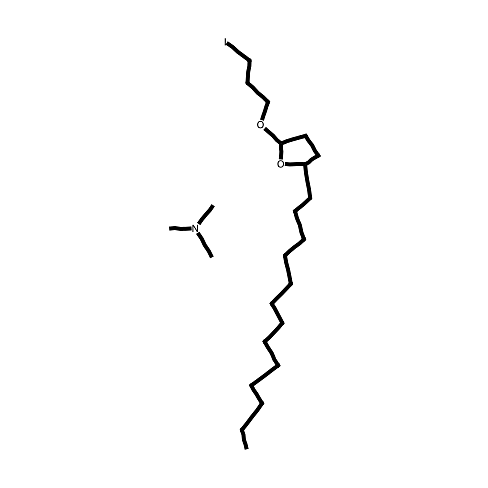 CCCCCCCCCCCCCC1CCC(OCCCI)O1.CN(C)C